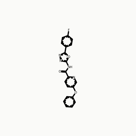 O=C(Nc1nnc(-c2ccc(F)cc2)o1)c1ccc(Oc2ccccc2)cn1